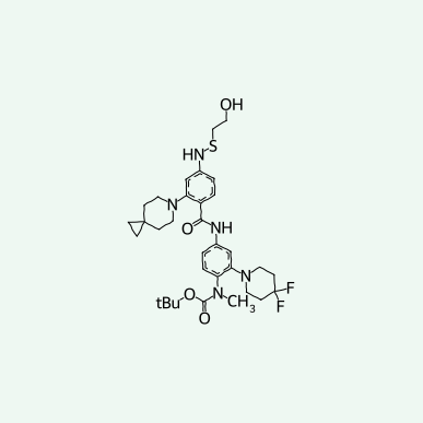 CN(C(=O)OC(C)(C)C)c1ccc(NC(=O)c2ccc(NSCCO)cc2N2CCC3(CC2)CC3)cc1N1CCC(F)(F)CC1